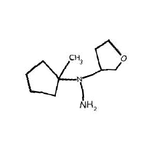 CC1(N(N)C2CCOC2)CCCC1